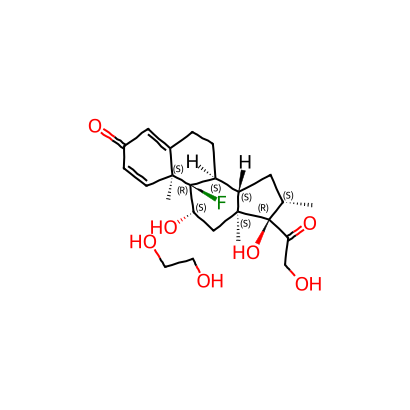 C[C@H]1C[C@H]2[C@@H]3CCC4=CC(=O)C=C[C@]4(C)[C@@]3(F)[C@@H](O)C[C@]2(C)[C@@]1(O)C(=O)CO.OCCO